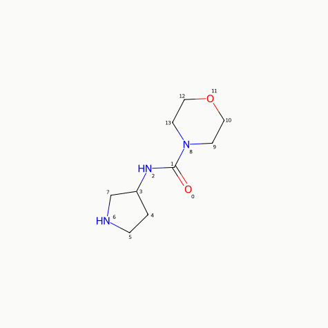 O=C(NC1CCNC1)N1CCOCC1